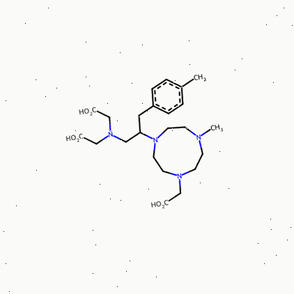 Cc1ccc(CC(CN(CC(=O)O)CC(=O)O)N2CCN(C)CCN(CC(=O)O)CC2)cc1